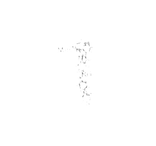 COc1ccc2nccc(-n3cc4c(n3)CCC(NCc3ccc(N5CCCCC5)cc3)C4)c2n1